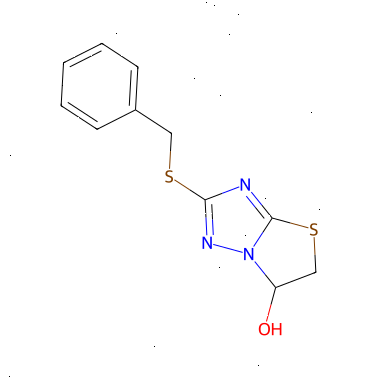 OC1CSc2nc(SCc3ccccc3)nn21